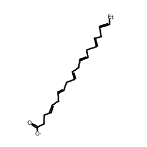 CC/C=C/C/C=C/C/C=C/C/C=C/C/C=C/C/C=C/CCC([O])=O